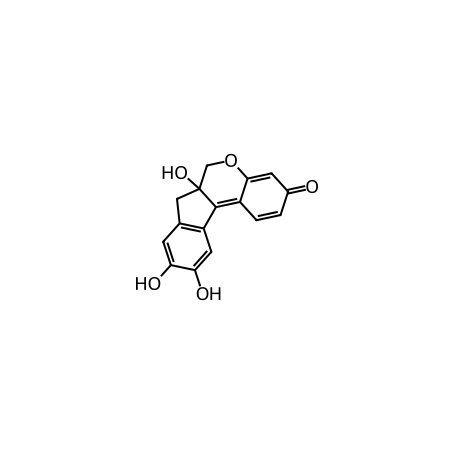 O=C1C=CC2=C3c4cc(O)c(O)cc4CC3(O)COC2=C1